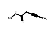 CC#CCC(=O)NC(C)(C)C